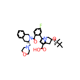 CC(C)(C)[Si](C)(C)O[C@@H]1Cc2c(C(=O)O)cc(-c3cc(F)ccc3C(=O)N3Cc4ccccc4C[C@H]3CN3CCOCC3)n2C1